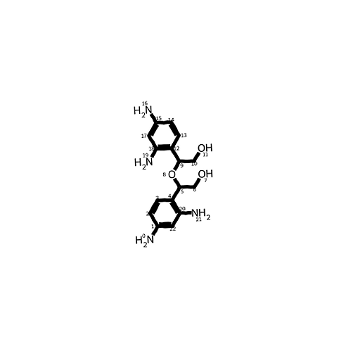 Nc1ccc(C(CO)OC(CO)c2ccc(N)cc2N)c(N)c1